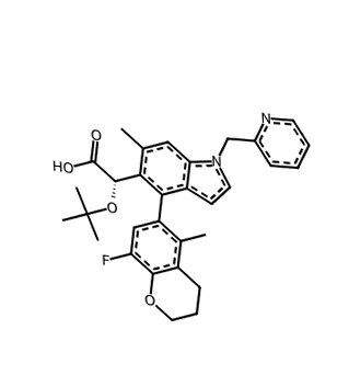 Cc1cc2c(ccn2Cc2ccccn2)c(-c2cc(F)c3c(c2C)CCCO3)c1[C@H](OC(C)(C)C)C(=O)O